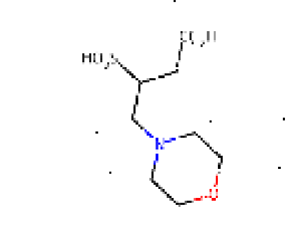 O=C(O)CC(CN1CCOCC1)S(=O)(=O)O